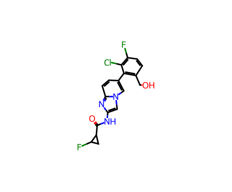 O=C(Nc1cn2cc(-c3c(CO)ccc(F)c3Cl)ccc2n1)C1CC1F